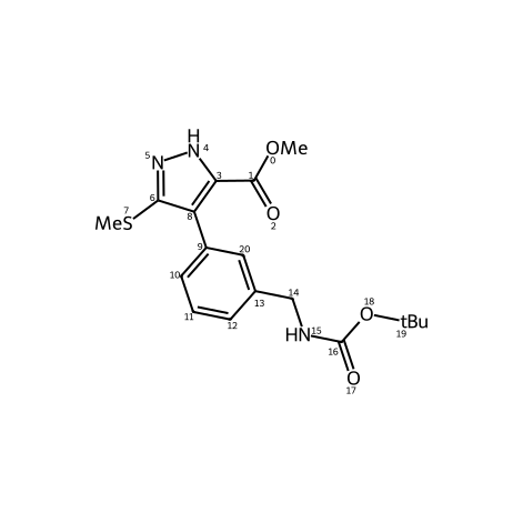 COC(=O)c1[nH]nc(SC)c1-c1cccc(CNC(=O)OC(C)(C)C)c1